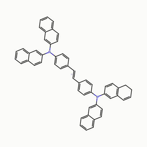 C1=Cc2cc(N(c3ccc(/C=C/c4ccc(N(c5ccc6ccccc6c5)c5ccc6ccccc6c5)cc4)cc3)c3ccc4ccccc4c3)ccc2CC1